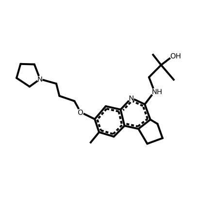 Cc1cc2c3c(c(NCC(C)(C)O)nc2cc1OCCCN1CCCC1)CCC3